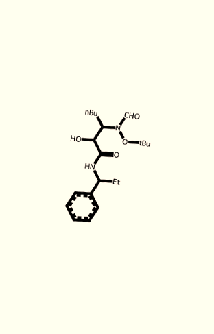 CCCCC(C(O)C(=O)NC(CC)c1ccccc1)N(C=O)OC(C)(C)C